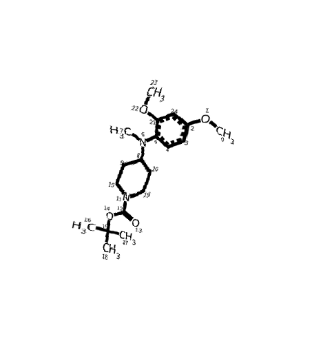 COc1ccc(N(C)C2CCN(C(=O)OC(C)(C)C)CC2)c(OC)c1